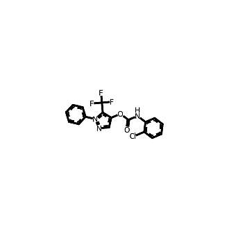 O=C(Nc1ccccc1Cl)Oc1cnn(-c2ccccc2)c1C(F)(F)F